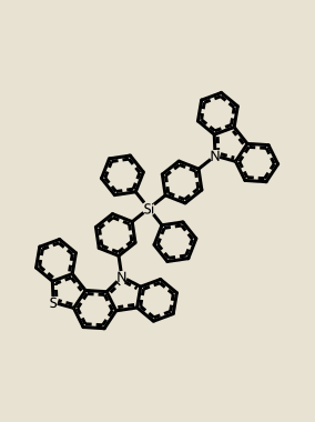 c1ccc([Si](c2ccccc2)(c2ccc(-n3c4ccccc4c4ccccc43)cc2)c2cccc(-n3c4ccccc4c4ccc5sc6ccccc6c5c43)c2)cc1